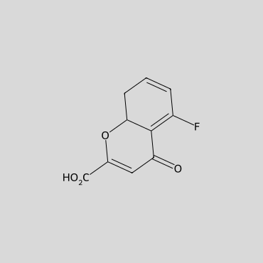 O=C(O)C1=CC(=O)C2=C(F)C=CCC2O1